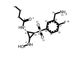 CCCC(=O)N[C@H]1C(NO)[C@@H]1S(=O)(=O)c1ccc(F)c(CN)c1